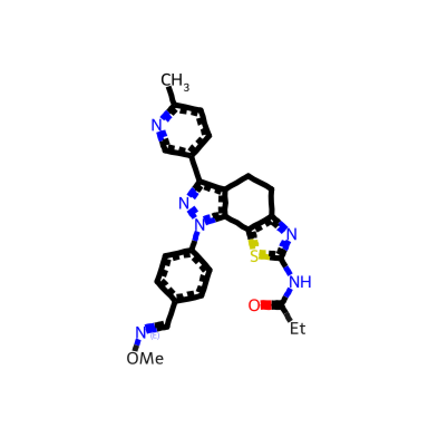 CCC(=O)Nc1nc2c(s1)-c1c(c(-c3ccc(C)nc3)nn1-c1ccc(/C=N/OC)cc1)CC2